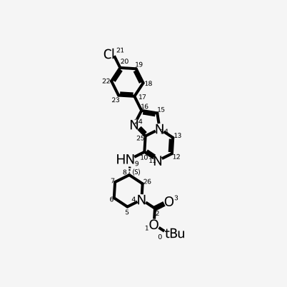 CC(C)(C)OC(=O)N1CCC[C@H](Nc2nccn3cc(-c4ccc(Cl)cc4)nc23)C1